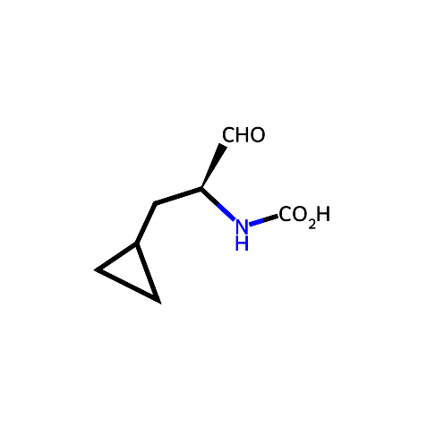 O=C[C@H](CC1CC1)NC(=O)O